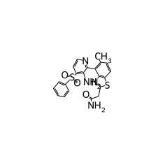 Cc1ccc2sc(CC(N)=O)nc2c1-c1nccc(S(=O)(=O)c2ccccc2)c1N